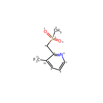 CS(=O)(=O)[CH]c1ncccc1C(F)(F)F